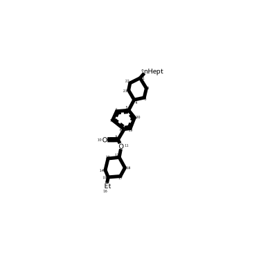 CCCCCCCC1CCC(c2ccc(C(=O)OC3CCC(CC)CC3)cc2)CC1